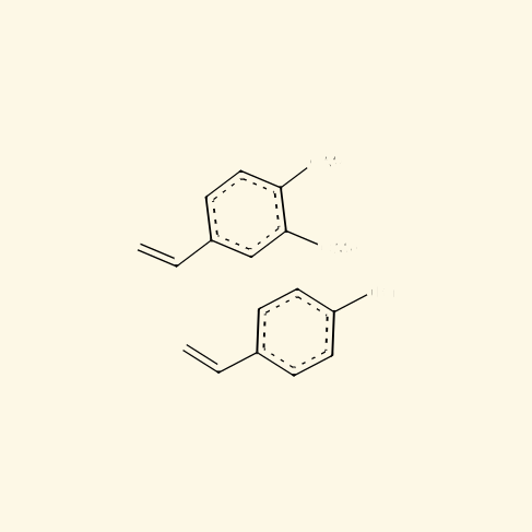 C=Cc1ccc(C(C)(C)C)cc1.C=Cc1ccc(OC)c(OC)c1